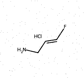 Cl.NCC=CF